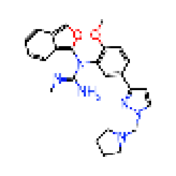 CN=C(N)N(c1cc(-c2ccn(CN3CCCC3)n2)ccc1OC)c1occ2ccccc12